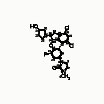 Cn1ccn(-c2ccc(O[C@H]3c4cc(Cl)cc(Cl)c4C[C@@H]3N3CCC(O)C3)c(F)c2)c1=O